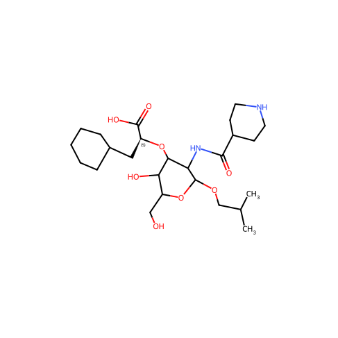 CC(C)COC1OC(CO)C(O)C(O[C@@H](CC2CCCCC2)C(=O)O)C1NC(=O)C1CCNCC1